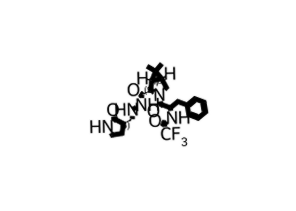 CC1(C)[C@@H]2[C@@H](C(=O)NNC[C@@H]3CCNC3=O)N(C(=O)C(Cc3ccccc3)NC(=O)C(F)(F)F)C[C@@H]21